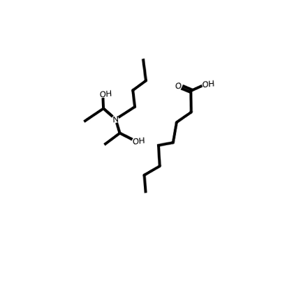 CCCCCCCC(=O)O.CCCCN(C(C)O)C(C)O